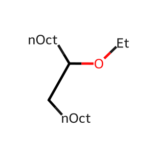 CCCCCCCCCC(CCCCCCCC)OCC